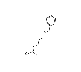 F/C(Cl)=C\CCCSCc1ccccc1